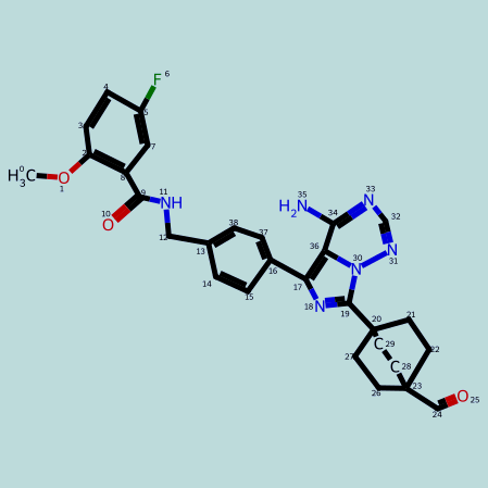 COc1ccc(F)cc1C(=O)NCc1ccc(-c2nc(C34CCC(C=O)(CC3)CC4)n3ncnc(N)c23)cc1